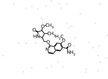 COc1cc2c(OCC3NC(=O)C(OC)C3C)nccc2cc1C(N)=O